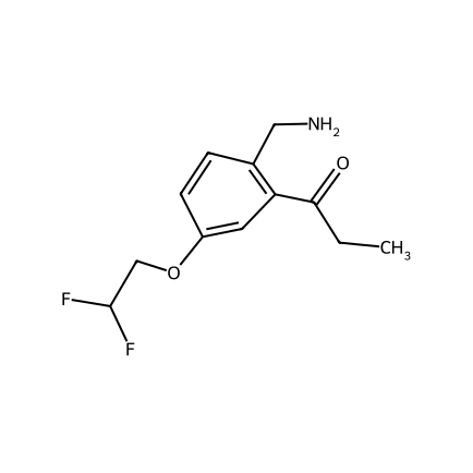 CCC(=O)c1cc(OCC(F)F)ccc1CN